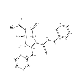 CC(O)[C@H]1C(=O)N2C(C(=O)OSc3ccccc3)=C(Sc3ccccc3)[C@H](C)[C@H]12